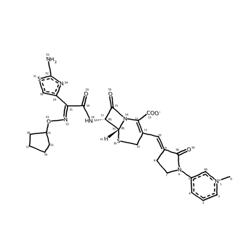 C[n+]1cccc(N2CCC(=CC3=C(C(=O)[O-])N4C(=O)[C@@H](NC(=O)C(=NOC5CCCC5)c5csc(N)n5)[C@H]4SC3)C2=O)c1